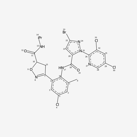 Cc1cc(Cl)cc(C2=NOC(C(=O)NC(C)C)C2)c1NC(=O)c1cc(Br)nn1-c1ncc(Cl)cc1Cl